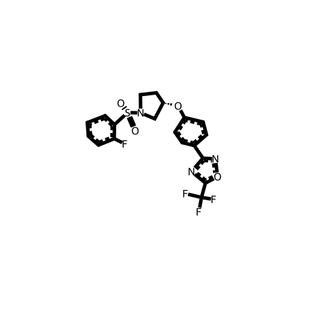 O=S(=O)(c1ccccc1F)N1CC[C@H](Oc2ccc(-c3noc(C(F)(F)F)n3)cc2)C1